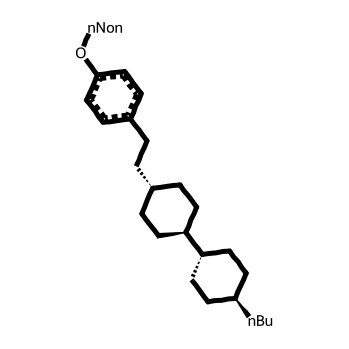 CCCCCCCCCOc1ccc(CC[C@H]2CC[C@H]([C@H]3CC[C@H](CCCC)CC3)CC2)cc1